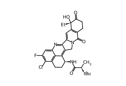 CC[C@@]1(O)C(=O)CCc2c1cc1n(c2=O)Cc2c-1nc1cc(F)c(Cl)c3c1c2[C@@H](NC(=O)[C@@H](C)C(C)(C)C)CC3